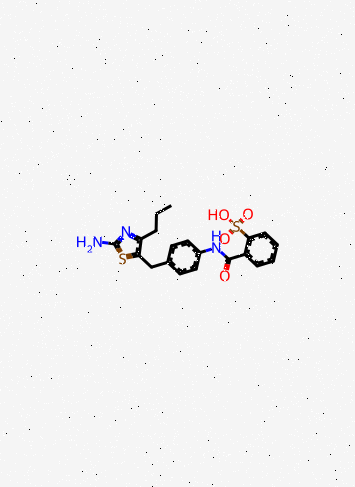 CCCc1nc(N)sc1Cc1ccc(NC(=O)c2ccccc2S(=O)(=O)O)cc1